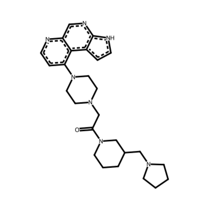 O=C(CN1CCN(c2ccnc3cnc4[nH]ccc4c23)CC1)N1CCCC(CN2CCCC2)C1